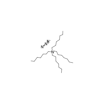 CCCCCCC[N+](CCCCCCC)(CCCCCCC)CCCCCCC.[N-]=[N+]=[N-]